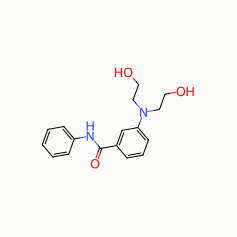 O=C(Nc1ccccc1)c1cccc(N(CCO)CCO)c1